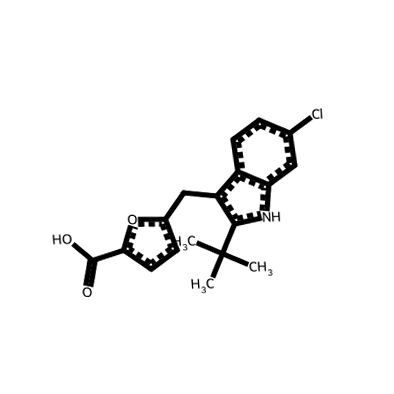 CC(C)(C)c1[nH]c2cc(Cl)ccc2c1Cc1ccc(C(=O)O)o1